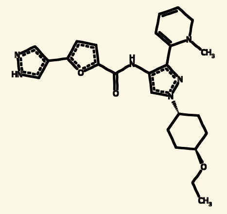 CCO[C@H]1CC[C@H](n2cc(NC(=O)c3ccc(-c4cn[nH]c4)o3)c(C3=CC=CCN3C)n2)CC1